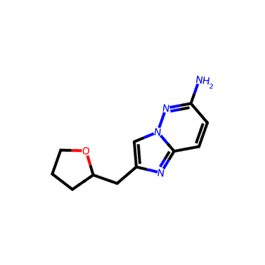 Nc1ccc2nc(CC3CCCO3)cn2n1